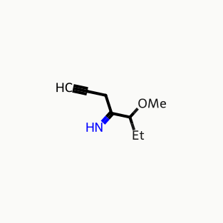 C#CCC(=N)C(CC)OC